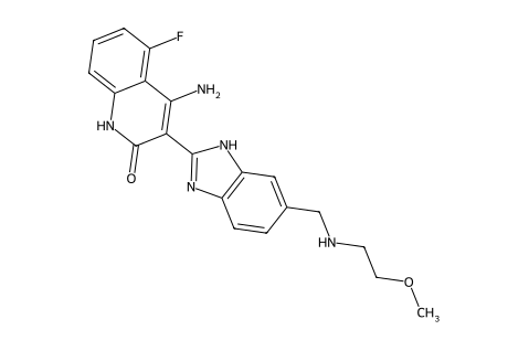 COCCNCc1ccc2nc(-c3c(N)c4c(F)cccc4[nH]c3=O)[nH]c2c1